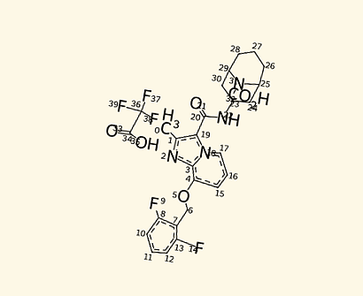 Cc1nc2c(OCc3c(F)cccc3F)cccn2c1C(=O)NC1CC2CCCC(C1)N2C(=O)O.O=C(O)C(F)(F)F